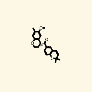 COc1cc2c(cc1C)OCC[C@H]2C(=O)c1ccc2c(c1)C=CC(C)(C)O2